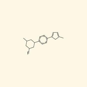 CC1=CC=C(c2ccc(C3CC(C)CC(F)C3)cc2)C1